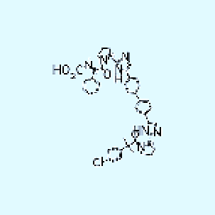 CN(C(=O)O)[C@@H](C(=O)N1CCC[C@H]1c1ncc(-c2ccc(-c3ccc(-c4cnc([C@@H]5CCCN5C(=O)C(C)(C)c5ccc(Cl)cc5)[nH]4)cc3)cc2)[nH]1)c1ccccc1